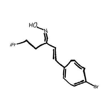 CC(C)CCC(/C=C/c1ccc(Br)cc1)=N\O